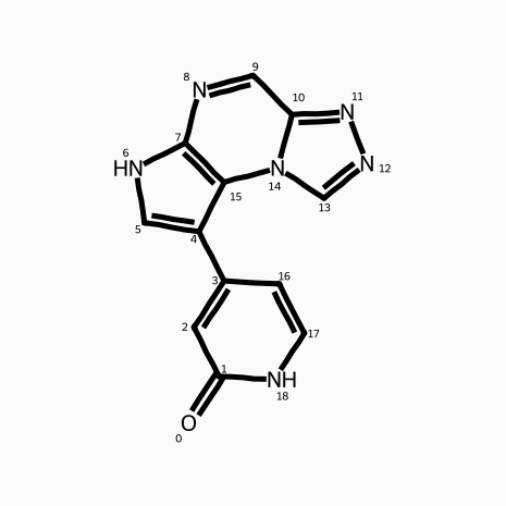 O=c1cc(-c2c[nH]c3ncc4nncn4c23)cc[nH]1